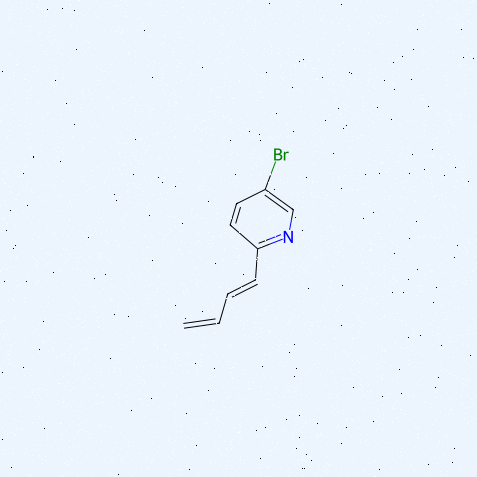 C=C/C=C/c1ccc(Br)cn1